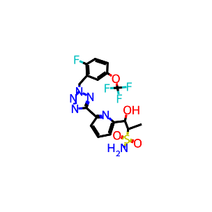 CC(C(O)c1cccc(-c2nnn(Cc3cc(OC(F)(F)F)ccc3F)n2)n1)S(N)(=O)=O